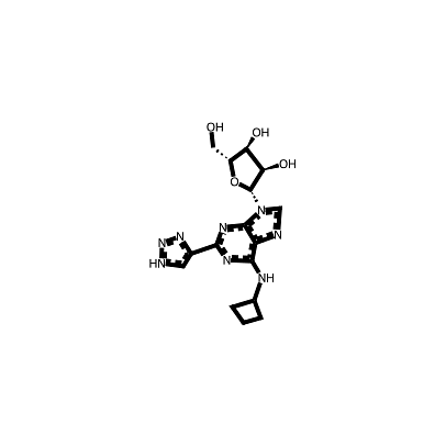 OC[C@H]1O[C@@H](n2cnc3c(NC4CCC4)nc(-c4c[nH]nn4)nc32)[C@H](O)[C@@H]1O